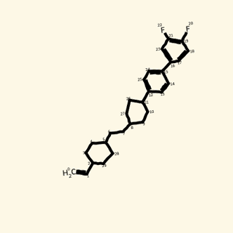 C=CC1CCC(CCC2CCC(c3ccc(-c4ccc(F)c(F)c4)cc3)CC2)CC1